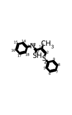 CC(=CSc1ccccc1)C(S)=Nc1ccccc1